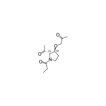 CCC(=O)N1CC[C@H](OCC(C)=O)[C@H]1C(C)=O